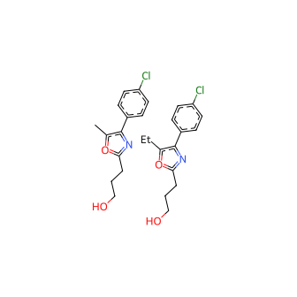 CCc1oc(CCCO)nc1-c1ccc(Cl)cc1.Cc1oc(CCCO)nc1-c1ccc(Cl)cc1